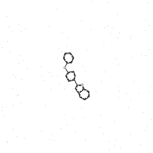 c1ccc(Oc2ccc(-c3cc4ccccc4o3)cc2)cc1